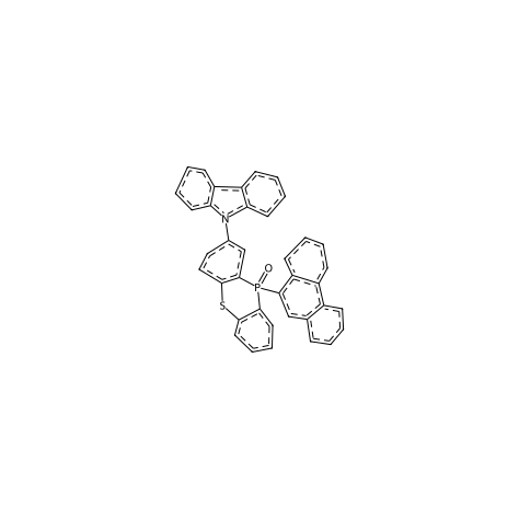 O=P1(c2cc3ccccc3c3ccccc23)c2ccccc2Sc2ccc(-n3c4ccccc4c4ccccc43)cc21